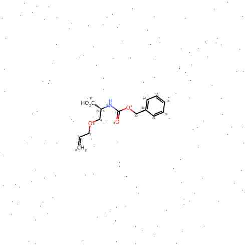 C=CCOC[C@H](NC(=O)OCc1ccccc1)C(=O)O